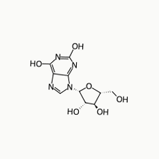 OC[C@H]1O[C@@H](n2cnc3c(O)nc(O)nc32)[C@@H](O)[C@@H]1O